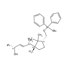 CC(C)[C@@H](O)C=C[C@H](C)[C@@]1(C)CC[C@@H](CO[Si](c2ccccc2)(c2ccccc2)C(C)(C)C)C1(C)C